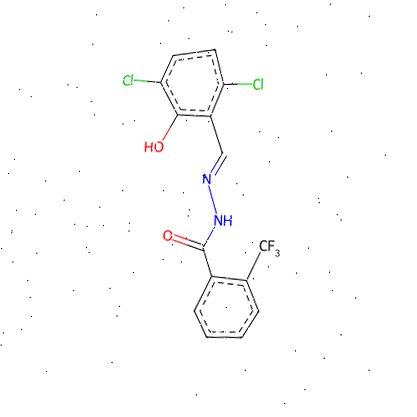 O=C(N/N=C/c1c(Cl)ccc(Cl)c1O)c1ccccc1C(F)(F)F